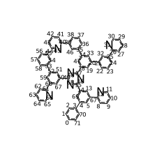 c1ccc(-c2cc(-c3ccccn3)cc(-c3nc(-c4cc(-c5cccc(-c6ccccn6)c5)cc(-c5cccc(-c6ccccn6)c5)c4)nc(-c4cc(-c5ccccc5)cc(-c5ccccn5)c4)n3)c2)cc1